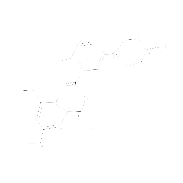 Cc1ccc(N2CCN(C)CC2)cc1C(=O)N[C@H](C)c1cc(CO)cc(CO)c1